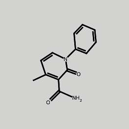 Cc1ccn(-c2ccccc2)c(=O)c1C(N)=O